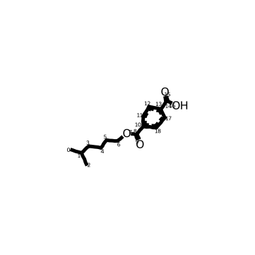 CC(C)CCCCOC(=O)c1ccc(C(=O)O)cc1